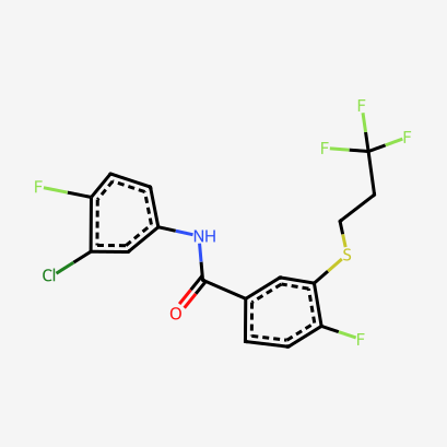 O=C(Nc1ccc(F)c(Cl)c1)c1ccc(F)c(SCCC(F)(F)F)c1